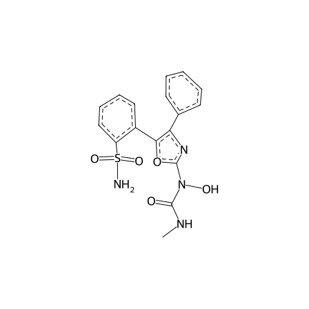 CNC(=O)N(O)c1nc(-c2ccccc2)c(-c2ccccc2S(N)(=O)=O)o1